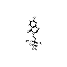 CC(CCn1cnc2cc(Br)ccc2c1=O)(C(=O)O)S(C)(=O)=O